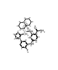 Cc1nnnn1-c1ccc(F)c(Nc2ncc(C(N)=O)c(NC[C@@H]3CCCN4CCCC[C@H]34)n2)c1